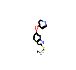 CSC1=Nc2cc(Oc3ccncc3)ccc2C1